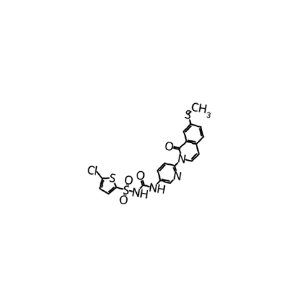 CSc1ccc2ccn(-c3ccc(NC(=O)NS(=O)(=O)c4ccc(Cl)s4)cn3)c(=O)c2c1